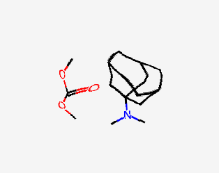 CN(C)C12CC3CC(CC(C3)C1)C2.COC(=O)OC